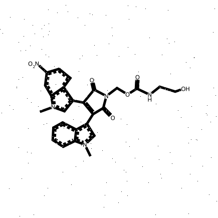 Cn1cc(C2=C(c3cn(C)c4cc([N+](=O)[O-])ccc34)C(=O)N(COC(=O)NCCO)C2=O)c2ccccc21